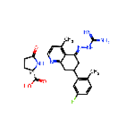 Cc1ccc(F)cc1C1CC(=NNC(=N)N)c2c(C)ccnc2C1.O=C1CC[C@@H](C(=O)O)N1